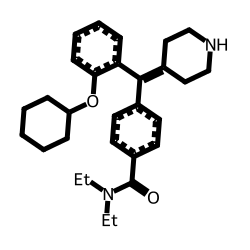 CCN(CC)C(=O)c1ccc(C(=C2CCNCC2)c2ccccc2OC2CCCCC2)cc1